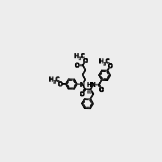 COC(=O)CCCN(C(=O)[C@H](Cc1ccccc1)NC(=O)c1ccc(OC)cc1)c1ccc(OC)cc1